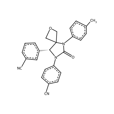 Cc1ccc(N2C(=O)N(c3ccc(C#N)cc3)[C@H](c3cccc(C#N)c3)C23COC3)cc1